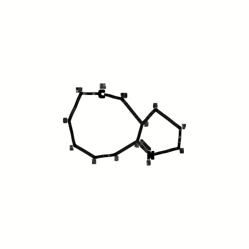 C1CCCC2=NCCCC2CCC1